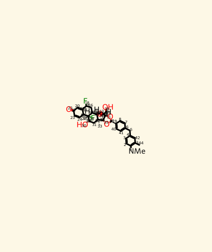 CNc1ccc(Cc2ccc([C@@H]3O[C@@H]4C[C@H]5[C@@H]6C[C@H](F)C7=CC(=O)C=C[C@]7(C)[C@@]6(F)[C@@H](O)C[C@]5(C)[C@]4(C(=O)CO)O3)cc2)cc1C